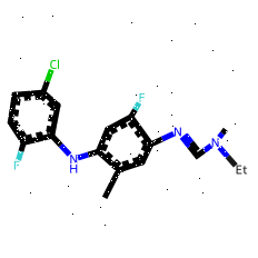 CCN(C)C=Nc1cc(C)c(Nc2cc(Cl)ccc2F)cc1F